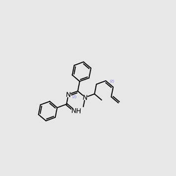 C=C/C=C\CC(C)N(C)/C(=N\C(=N)c1ccccc1)c1ccccc1